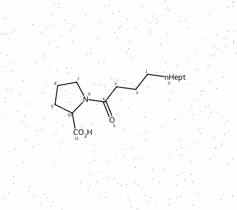 CCCCCCCCCCC(=O)N1CCCC1C(=O)O